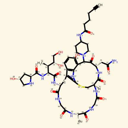 C#CCCCC(=O)NC1CCN(C2C(=O)[C@H](CC(N)=O)NC(=O)[C@@H]3CSc4[nH]c5c2c(O)ccc5c4C[C@@H](NC(=O)[C@@H](NC(=O)[C@@H]2C[C@@H](O)CN2)[C@@H](C)[C@@H](O)CO)C(=O)NCC(=O)N[C@@H]([C@@H](C)CC)C(=O)NCC(=O)N3)CC1